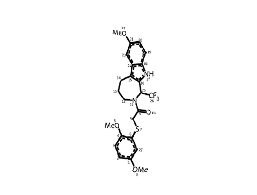 COc1ccc(OC)c(SCC(=O)N2CCCc3c([nH]c4ccc(OC)cc34)C2C(F)(F)F)c1